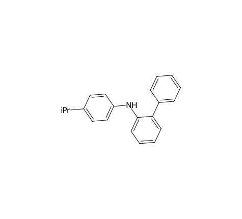 CC(C)c1ccc(Nc2ccccc2-c2ccccc2)cc1